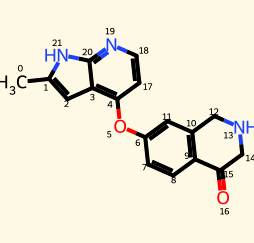 Cc1cc2c(Oc3ccc4c(c3)CNCC4=O)ccnc2[nH]1